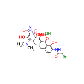 CN(C)[C@@H]1C(O)=C(C(N)=O)C(=O)C2(O)C(O)=C3C(=O)c4c(ccc(NC(=O)CBr)c4O)CC3CC12.Cl